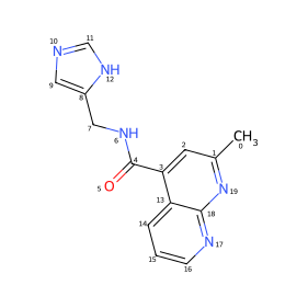 Cc1cc(C(=O)NCc2cnc[nH]2)c2cccnc2n1